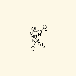 Cc1sc(Nc2ncc(-c3cccs3)cc2C(=O)O)nc1C1=CCCC1